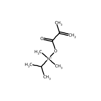 C=C(C)C(=O)O[N+](C)(C)C(C)C